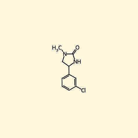 CN1CC(c2cccc(Cl)c2)NC1=O